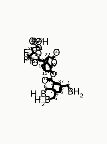 BCc1cc(CB)c(CB)c(C(=O)OC2C3CC4C2OC(=O)C4C3C(=O)OC(CS(=O)(=O)O)C(F)(F)F)c1